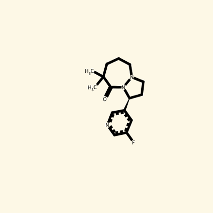 CC1(C)CCCN2CC[C@@H](c3cncc(F)c3)N2C1=O